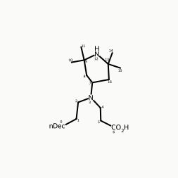 CCCCCCCCCCCCN(CCC(=O)O)C1CC(C)(C)NC(C)(C)C1